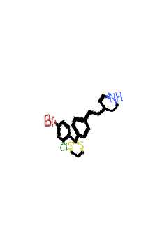 Clc1cc(Br)ccc1C1(c2ccc(CCC3CCNCC3)cc2)SCCCS1